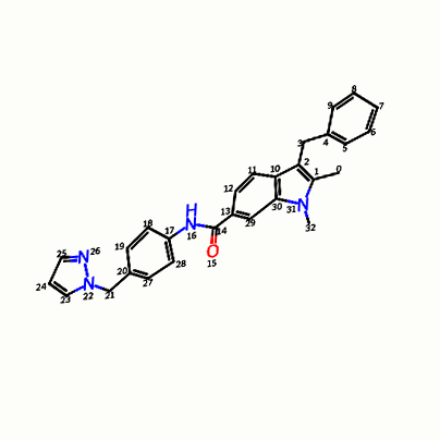 Cc1c(Cc2ccccc2)c2ccc(C(=O)Nc3ccc(Cn4cccn4)cc3)cc2n1C